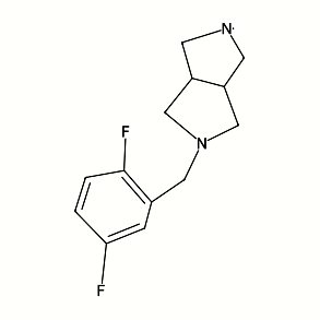 Fc1ccc(F)c(CN2CC3C[N]CC3C2)c1